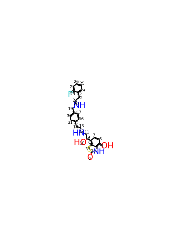 O=c1[nH]c2c(O)ccc(C(O)CNCCc3ccc(CNCCc4ccccc4F)cc3)c2s1